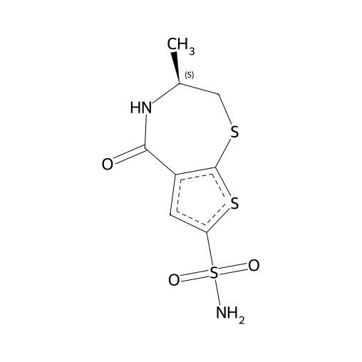 C[C@H]1CSc2sc(S(N)(=O)=O)cc2C(=O)N1